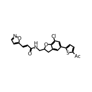 CC(=O)c1ccc(-c2cc(Cl)c3c(c2)CC(CNC(=O)C=Cc2ccno2)O3)s1